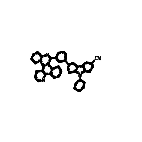 N#Cc1ccc2c(c1)c1cc(-c3cccc(-c4nc5ccccc5c5c6cccnc6c6ccccc6c45)c3)ccc1n2-c1ccccc1